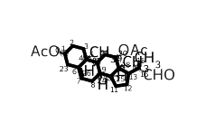 CC(=O)O[C@H]1CC[C@@]2(C)C(=CC[C@H]3[C@@H]4CCC([C@H](C)C=O)[C@@]4(C)[C@H](OC(C)=O)C[C@@H]32)C1